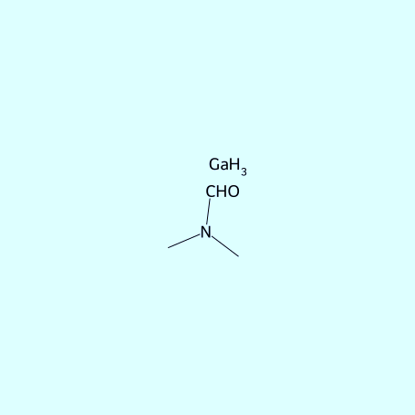 CN(C)C=O.[GaH3]